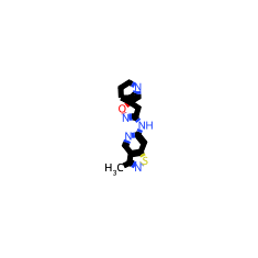 Cc1nsc2cc(NC3=NOC4(C3)CN3CCC4CC3)ncc12